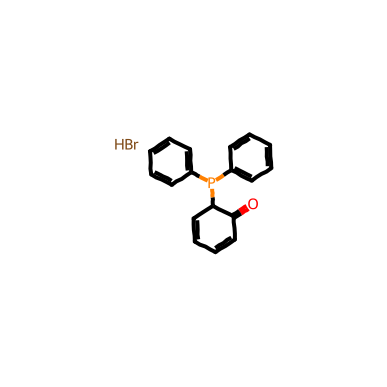 Br.O=C1C=CC=CC1P(c1ccccc1)c1ccccc1